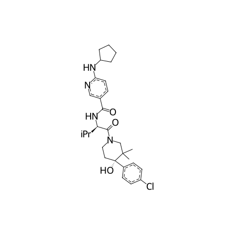 CC(C)[C@@H](NC(=O)c1ccc(NC2CCCC2)nc1)C(=O)N1CC[C@](O)(c2ccc(Cl)cc2)C(C)(C)C1